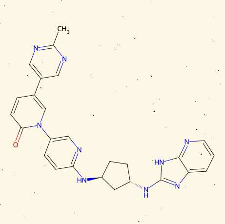 Cc1ncc(-c2ccc(=O)n(-c3ccc(N[C@H]4CC[C@H](Nc5nc6cccnc6[nH]5)C4)nc3)c2)cn1